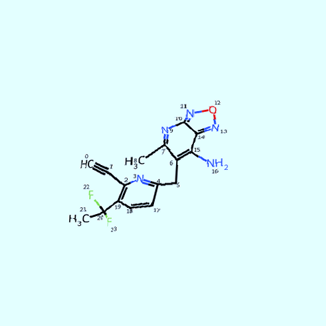 C#Cc1nc(Cc2c(C)nc3nonc3c2N)ccc1C(C)(F)F